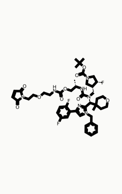 C[C@@H](COC(=O)NCCOCCN1C(=O)C=CC1=O)NC(=O)N(C[C@@H]1CN(C(=O)OC(C)(C)C)C[C@@H]1F)[C@@H](c1nc(-c2cc(F)ccc2F)cn1Cc1ccccc1)C1(C)CCOCC1